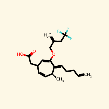 C=CCC/C=C1/C(OCC(=C)CC(F)(F)F)=CC(CC(=O)O)C=C[C@@H]1C